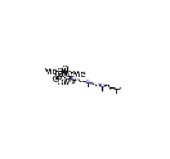 COP(=O)(OC)C(C/C=C(\C)CC/C=C(\C)CC/C=C(\C)CCC=C(C)C)P(=O)(OC)OC